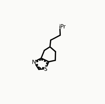 CC(C)CCC1CCc2scnc2C1